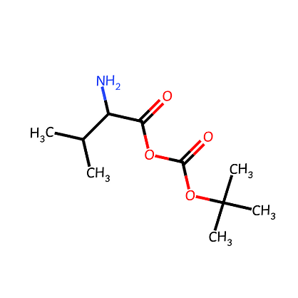 CC(C)C(N)C(=O)OC(=O)OC(C)(C)C